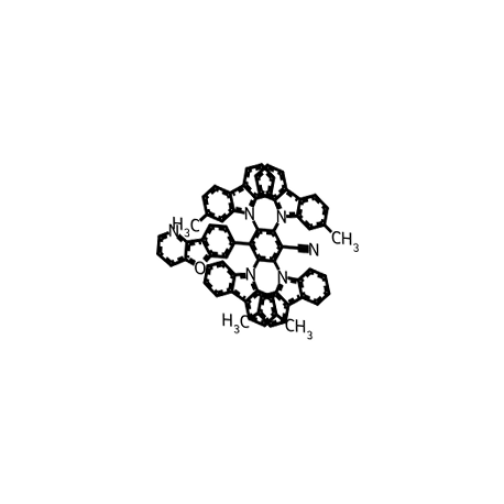 Cc1ccc2c3ccccc3n(-c3c(C#N)c(-n4c5ccccc5c5ccc(C)cc54)c(-n4c5ccccc5c5ccc(C)cc54)c(-c4ccc5c(c4)oc4cccnc45)c3-n3c4ccccc4c4ccc(C)cc43)c2c1